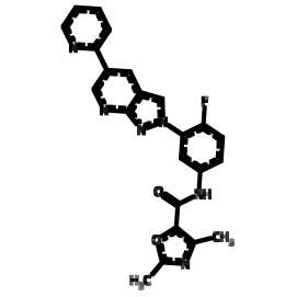 Cc1nc(C)c(C(=O)Nc2ccc(F)c(-n3cc4cc(-c5ccccn5)cnc4n3)c2)o1